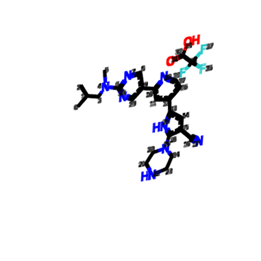 CC(C)CN(C)c1ncc(-c2cc(-c3cc(C#N)c(N4CCNCC4)[nH]3)ccn2)cn1.O=C(O)C(F)(F)F